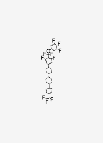 FC(F)=C(F)c1ccc(C2CCC(C3CCC(c4cc(F)c(C(F)(F)Oc5cc(F)c(F)c(F)c5)c(F)c4)CC3)CC2)cc1